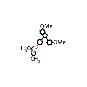 COc1cccc(C2Cc3cc(OC)ccc3C2c2ccc(OC[C@H](C)N3CCC(C)C3)cc2)c1